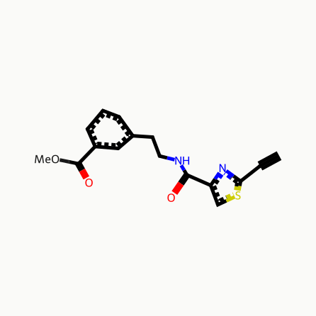 C#Cc1nc(C(=O)NCCc2cccc(C(=O)OC)c2)cs1